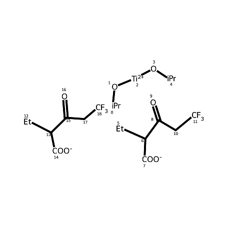 CC(C)[O][Ti+2][O]C(C)C.CCC(C(=O)[O-])C(=O)CC(F)(F)F.CCC(C(=O)[O-])C(=O)CC(F)(F)F